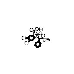 CCOC(=O)C(c1ccccc1)n1c(=O)n(C(=O)O)c2cc(Cl)c(Cl)cc21